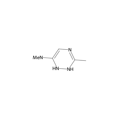 CNC1=CN=C(C)NN1